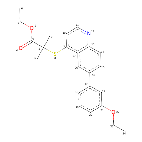 CCOC(=O)C(C)(C)Sc1ccnc2ccc(-c3cccc(OCC)c3)cc12